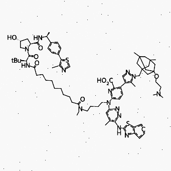 Cc1cc(N(CCCCN(C)C(=O)CCCCCCCCCC(=O)N[C@H](C(=O)N2C[C@H](O)C[C@H]2C(=O)N[C@@H](C)c2ccc(-c3scnc3C)cc2)C(C)(C)C)c2ccc(-c3cnn(CC45CC6(C)CC(C)(C4)CC(OCCN(C)C)(C6)C5)c3C)c(C(=O)O)n2)nnc1Nc1nc2ccccc2s1